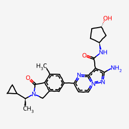 Cc1cc(-c2ccn3nc(N)c(C(=O)N[C@H]4CC[C@H](O)C4)c3n2)cc2c1C(=O)N([C@@H](C)C1CC1)C2